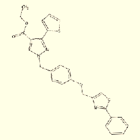 CCOC(=O)c1cn(Cc2ccc(OCc3coc(-c4ccccc4)n3)cc2)nc1-c1cccs1